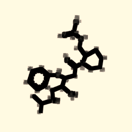 CC(C)NCC(O)C(CC(=O)N1CCCCC1CO[N+](=O)[O-])Oc1ccccc1